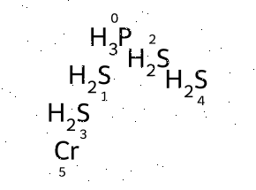 P.S.S.S.S.[Cr]